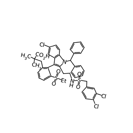 CCS(=O)(=O)c1cccc(CC(C)(C)C(=O)O)c1-c1c(CCNS(=O)(=O)Cc2ccc(Cl)c(Cl)c2)n(C(c2ccccc2)c2ccccc2)c2ccc(Cl)cc12